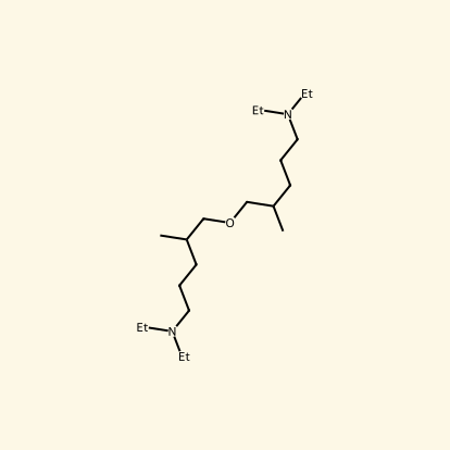 CCN(CC)CCCC(C)COCC(C)CCCN(CC)CC